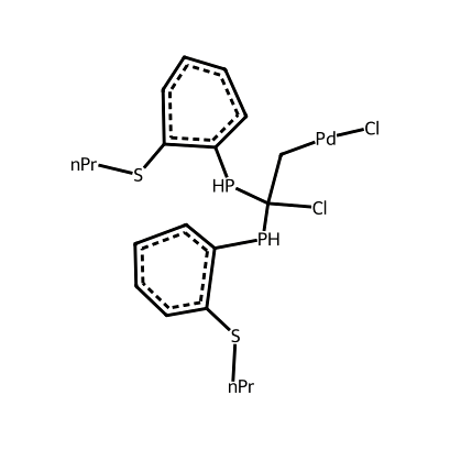 CCCSc1ccccc1PC(Cl)([CH2][Pd][Cl])Pc1ccccc1SCCC